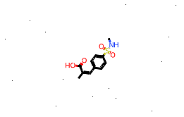 CNS(=O)(=O)c1ccc(C=C(C)C(=O)O)cc1